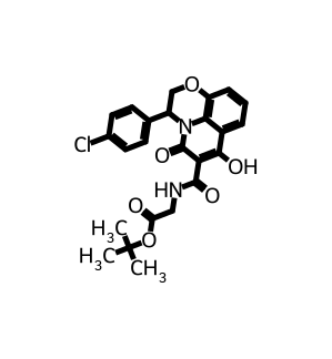 CC(C)(C)OC(=O)CNC(=O)c1c(O)c2cccc3c2n(c1=O)C(c1ccc(Cl)cc1)CO3